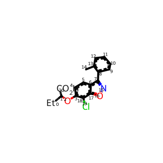 CCC(Oc1ccc2c(-c3ccccc3C)noc2c1Cl)C(=O)O